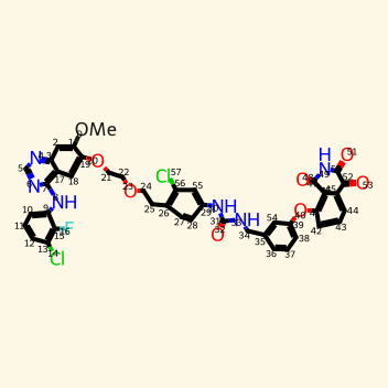 COc1cc2ncnc(Nc3cccc(Cl)c3F)c2cc1OCCOCCc1ccc(NC(=O)NCc2cccc(Oc3cccc4c3C(=O)NC(=O)C4=O)c2)cc1Cl